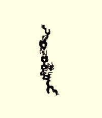 CCCCC(CC)CCc1ccc(-c2ccc(-c3ccc(-c4ccc(/N=N/c5ccc(OCC(CC)CCCC)cc5)cc4)c4nsnc34)s2)c(F)c1